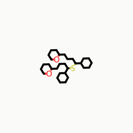 C1CCC(C(CCCC2CCCCO2)SC(CCCC2CCCCO2)C2CCCCC2)CC1